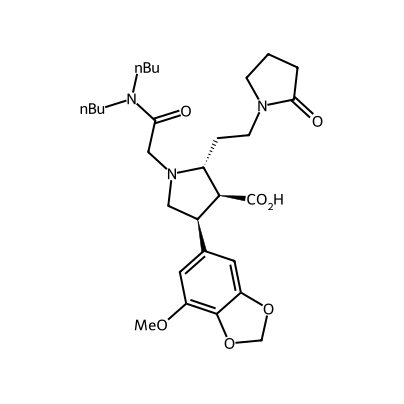 CCCCN(CCCC)C(=O)CN1C[C@H](c2cc(OC)c3c(c2)OCO3)[C@H](C(=O)O)[C@H]1CCN1CCCC1=O